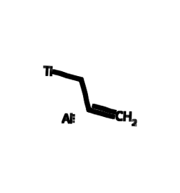 C=C[CH2][Ti].[Al]